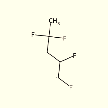 CC(F)(F)CC(F)[CH]F